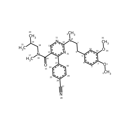 COc1ccc(CCN(C)c2ncc(C(=O)N(C)CC(C)C)c(-c3ccc(C#N)cc3)n2)cc1OC